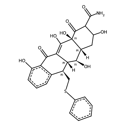 NC(=O)C1C(=O)[C@@]2(O)C(O)=C3C(=O)c4c(O)cccc4[C@H](CSc4ccccc4)[C@H]3[C@H](O)[C@H]2CC1O